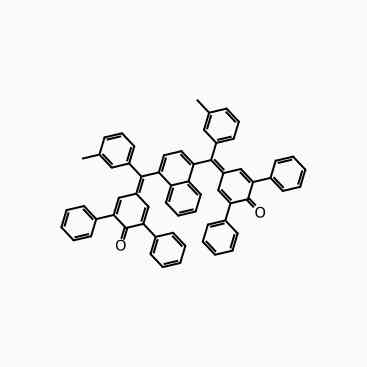 Cc1cccc(C(=C2C=C(c3ccccc3)C(=O)C(c3ccccc3)=C2)c2ccc(C(=C3C=C(c4ccccc4)C(=O)C(c4ccccc4)=C3)c3cccc(C)c3)c3ccccc23)c1